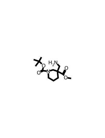 COC(=O)C1(CN)CCCN(C(=O)OC(C)(C)C)C1